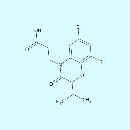 CC(C)C1Oc2c(Cl)cc(Cl)cc2N(CCC(=O)O)C1=O